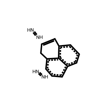 C1=Cc2cccc3cccc(c23)C1.N=N.N=N